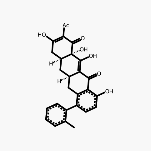 CC(=O)C1=C(O)C[C@@H]2C[C@@H]3Cc4c(-c5ccccc5C)ccc(O)c4C(=O)C3=C(O)[C@]2(O)C1=O